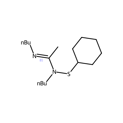 CCCC/N=C(\C)N(CCCC)SC1CCCCC1